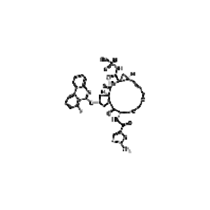 CCC(C)S(=O)(=O)NC(=O)[C@@]12C[C@H]1/C=C\CCCCC[C@H](NC(=O)c1ccc(C)s1)C(=O)N1C[C@H](Oc3nc4ccccc4c4cccc(F)c34)C[C@H]1C(=O)N2